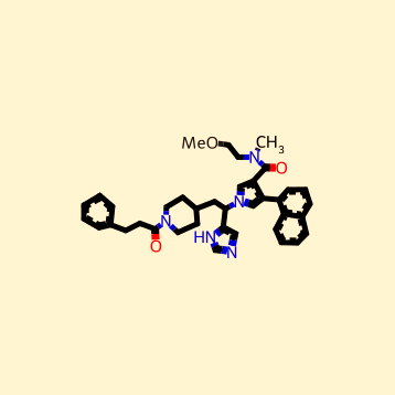 COCCN(C)C(=O)c1cn(C(CC2CCN(C(=O)CCc3ccccc3)CC2)c2cnc[nH]2)cc1-c1cccc2ccccc12